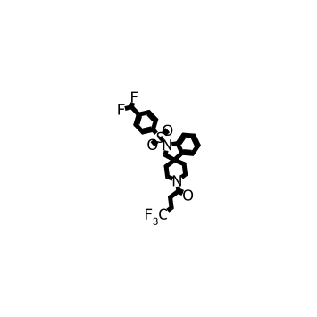 O=C(CCC(F)(F)F)N1CCC2(CC1)CN(S(=O)(=O)c1ccc(C(F)F)cc1)c1ccccc12